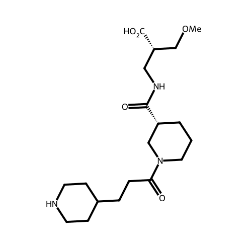 COC[C@H](CNC(=O)[C@@H]1CCCN(C(=O)CCC2CCNCC2)C1)C(=O)O